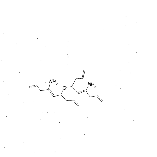 C=CCC(N)=CC(CC=C)OC(C=C(N)CC=C)CC=C